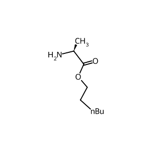 CCCCCCOC(=O)[C@H](C)N